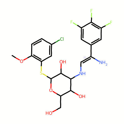 COc1ccc(Cl)cc1SC1OC(CO)C(O)C(N/C=C(\N)c2cc(F)c(F)c(F)c2)C1O